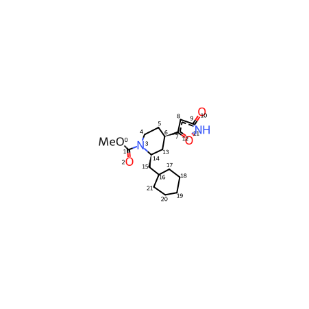 COC(=O)N1CC[C@@H](c2cc(=O)[nH]o2)C[C@H]1CC1CCCCC1